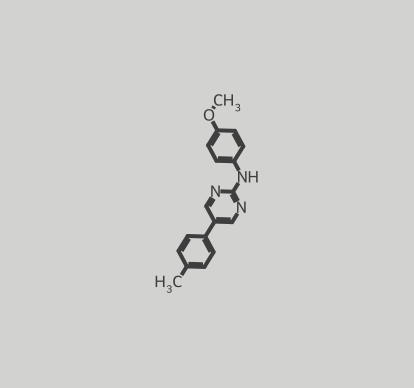 COc1ccc(Nc2ncc(-c3ccc(C)cc3)cn2)cc1